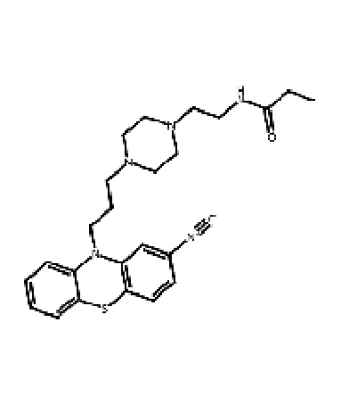 [C-]#[N+]c1ccc2c(c1)N(CCCN1CCN(CCNC(=O)CC)CC1)c1ccccc1S2